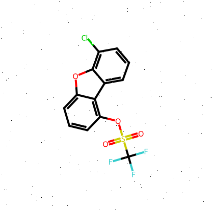 O=S(=O)(Oc1cccc2oc3c(Cl)cccc3c12)C(F)(F)F